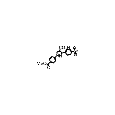 COC(=O)c1ccc(-n2cc(C(=O)O)c(-c3ccc(S(C)(=O)=O)cc3)n2)cc1